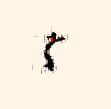 CCNC(=O)C1(C(=O)N[C@@H](CCCNC(N)=O)CNc2ccc(COC(=O)N3CCN(c4cc5c(cc4F)c(=O)c(C(=O)O)cn5CC)CC3)cc2)CCCC1